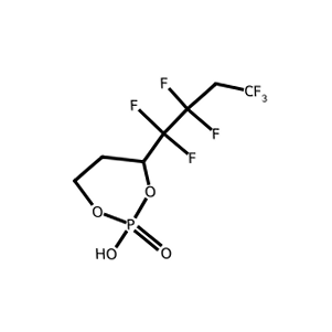 O=P1(O)OCCC(C(F)(F)C(F)(F)CC(F)(F)F)O1